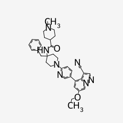 CCOc1cc(-c2ccc(N3CCC(Cc4ccccc4)(NC(=O)C4CCN(C)CC4)CC3)nc2)c2c(C#N)cnn2c1